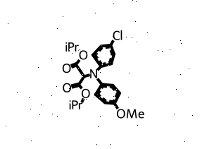 COc1ccc(N(c2ccc(Cl)cc2)C(C(=O)OC(C)C)C(=O)OC(C)C)cc1